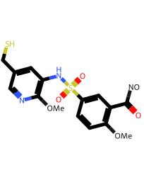 COc1ccc(S(=O)(=O)Nc2cc(CS)cnc2OC)cc1C(=O)N=O